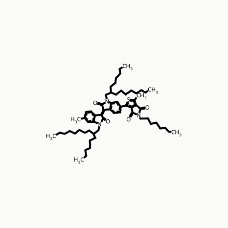 CCCCCCCCC(CCCCCC)CN1C(=O)/C(=C2/C(=O)N(CC(CCCCCC)CCCCCCCC)c3cc(-c4sc(C)c5c4C(=O)N(CCCCCCCC)C5=O)ccc32)c2ccc(C)cc21